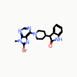 Cn1c(Br)nc2c(N3CCC(C4C(=O)Nc5ccccc54)CC3)ncnc21